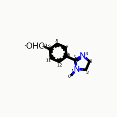 CN1CCN=C1c1ccc([C]=O)cc1